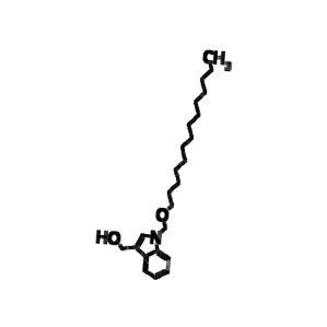 CCCCCCCCCCCCCCOCn1cc(CO)c2ccccc21